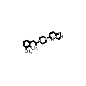 Cc1cccc(CC(=O)N2CCN(c3ccc4nncn4n3)CC2)c1C